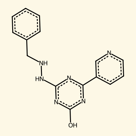 Oc1nc(NNCc2ccccc2)nc(-c2cccnc2)n1